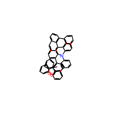 CC12C=CC=CC1Oc1cccc(-c3cccc(N(c4ccccc4-c4cccc5cccc(-c6ccccc6)c45)c4ccccc4-c4cccc5oc6ccccc6c45)c3)c12